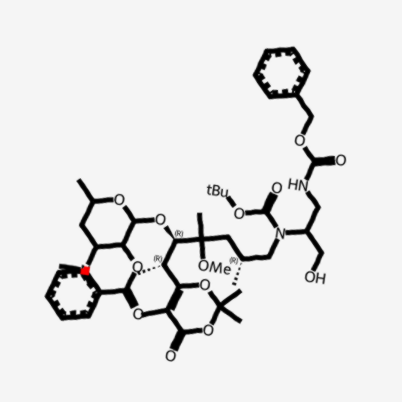 COC(C)(C[C@@H](C)CN(C(=O)OC(C)(C)C)C(CO)CNC(=O)OCc1ccccc1)[C@H](OC1OC(C)CC(N(C)C)C1OC(=O)c1ccccc1)[C@@H](C)C1=C(C)C(=O)OC(C)(C)O1